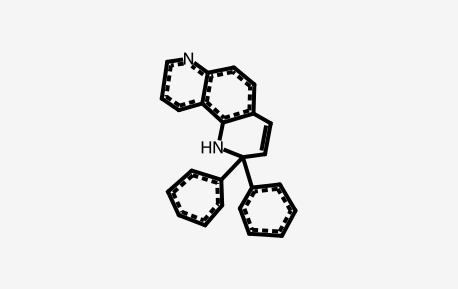 C1=CC(c2ccccc2)(c2ccccc2)Nc2c1ccc1ncccc21